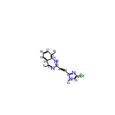 Cc1nc(C#Cc2nc(Br)cn2C)nc2c(C)cccc12